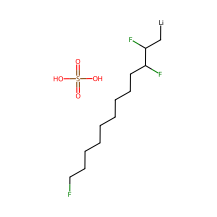 O=S(=O)(O)O.[Li][CH2]C(F)C(F)CCCCCCCCCF